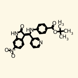 CC(C)(C)OC(=O)c1ccc(N/C(=C2\C(=O)Nc3cc([N+](=O)[O-])ccc32)c2cccnc2)cc1